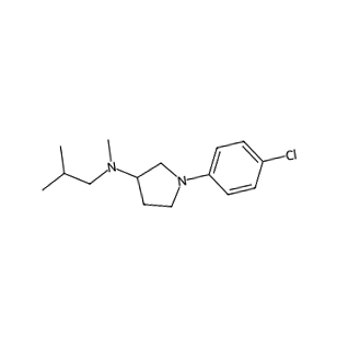 CC(C)CN(C)C1CCN(c2ccc(Cl)cc2)C1